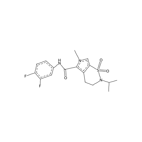 CC(C)N1CCc2c(cn(C)c2C(=O)Nc2ccc(F)c(F)c2)S1(=O)=O